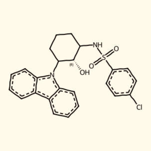 O=S(=O)(NC1CCCC(n2c3ccccc3c3ccccc32)[C@H]1O)c1ccc(Cl)cc1